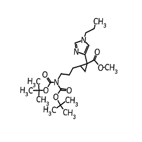 CCCn1cnc(C2(C(=O)OC)CC2CCCN(C(=O)OC(C)(C)C)C(=O)OC(C)(C)C)c1